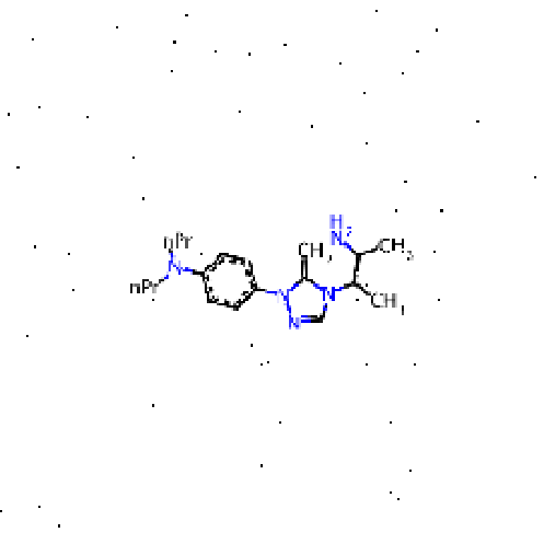 C=C1N(c2ccc(N(CCC)CCC)cc2)N=CN1C(C)C(C)N